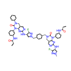 C=CC(=O)Nc1cccc(N2C(=O)N(Cc3ccc(Cn4cc(Nc5ncc6c(n5)N(c5cccc(NC(=O)C=C)c5)C(=O)N(c5ccccc5)C6)c(F)n4)cc3)Cc3cnc(Nc4cn(C)nc4F)nc32)c1